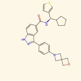 O=C(N[C@@H](c1ccsc1)C1CCCC1)c1ccc2[nH]nc(-c3ccc(N4CC5(COC5)C4)cc3)c2c1